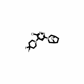 FC1(F)CCN(c2cc(N3CC4CCC(C3)O4)nnc2Cl)CC1